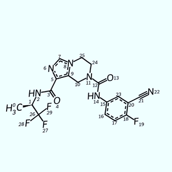 C[C@@H](NC(=O)c1ncn2c1CN(C(=O)Nc1ccc(F)c(C#N)c1)CC2)C(F)(F)F